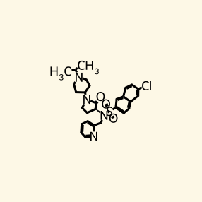 CC(C)N1CCC(N2CC[C@H](N(Cc3ccccn3)S(=O)(=O)c3ccc4cc(Cl)ccc4c3)C2=O)CC1